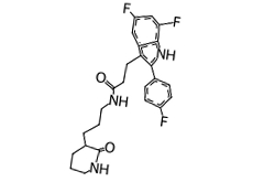 O=C(CCc1c(-c2ccc(F)cc2)[nH]c2c(F)cc(F)cc12)NCCCC1CCCNC1=O